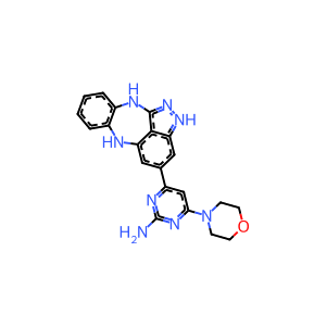 Nc1nc(-c2cc3c4c(n[nH]c4c2)Nc2ccccc2N3)cc(N2CCOCC2)n1